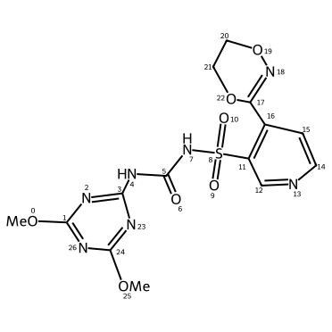 COc1nc(NC(=O)NS(=O)(=O)c2cnccc2C2=NOCCO2)nc(OC)n1